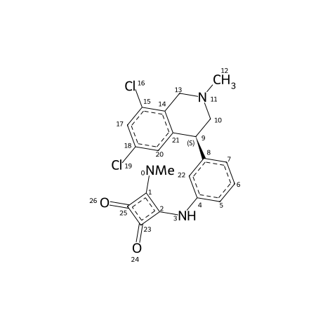 CNc1c(Nc2cccc([C@@H]3CN(C)Cc4c(Cl)cc(Cl)cc43)c2)c(=O)c1=O